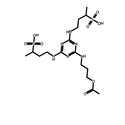 CC(=O)OCCCNc1nc(NCCC(C)S(=O)(=O)O)nc(NCCC(C)S(=O)(=O)O)n1